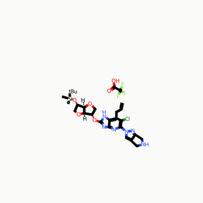 C=CCc1c(Cl)c(-n2cc3c(n2)CNC3)nc2nc(O[C@@H]3CO[C@H]4[C@@H]3OC[C@H]4O[Si](C)(C)C(C)(C)C)[nH]c12.O=C(O)C(F)(F)F